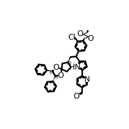 CS(=O)(=O)c1ccc(C(C[C@H]2CCC3(C2)O[C@H](c2ccccc2)[C@@H](c2ccccc2)O3)c2ccc(-c3ccc(C=O)cn3)[nH]2)cc1Cl